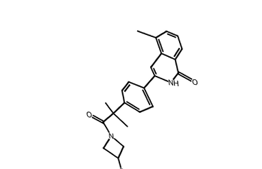 Cc1cccc2c(=O)[nH]c(-c3ccc(C(C)(C)C(=O)N4CC(O)C4)cc3)cc12